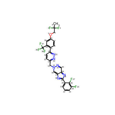 CC(F)(F)COc1ccc(-c2ccc(Cn3cc4nc(-c5cccc(F)c5F)nc-4cn3)nn2)c(C(F)(F)F)c1